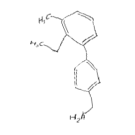 CCc1c(C)cccc1-c1ccc(CN)cc1